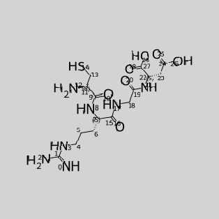 N=C(N)NCCC[C@H](NC(=O)[C@@H](N)CS)C(=O)NCC(=O)N[C@@H](CC(=O)O)C(=O)O